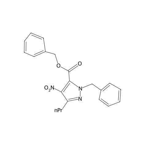 CCCc1nn(Cc2ccccc2)c(C(=O)OCc2ccccc2)c1[N+](=O)[O-]